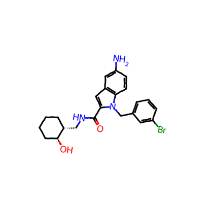 Nc1ccc2c(c1)cc(C(=O)NC[C@H]1CCCC[C@@H]1O)n2Cc1cccc(Br)c1